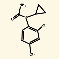 NC(=O)N(c1ccc(O)cc1Cl)C1CC1